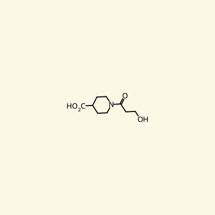 O=C(O)C1CCN(C(=O)CCO)CC1